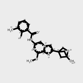 COc1nc(NC(=O)c2cccc(C)c2F)cn2cc(C34COC(C)(C3)C4)nc12